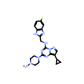 CN1CCN(c2nc(NCc3nc4cc(F)ccc4[nH]3)n3ncc(C4CC4)c3n2)CC1